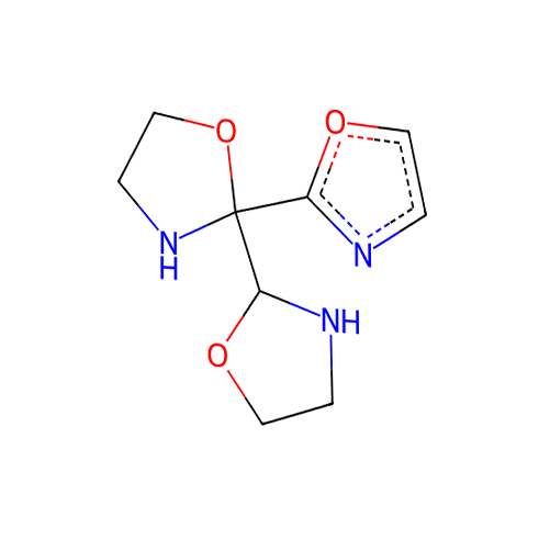 c1coc(C2(C3NCCO3)NCCO2)n1